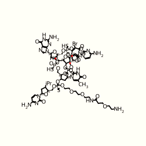 Cc1cn([C@H]2CC(OP(=S)(OCCOCCOCCNC(=O)CCOCCN)OC[C@H]3O[C@@H](n4ccc(N)nc4=O)CC3C(C)C)[C@@H](COP(=O)(S)OC3C[C@H](n4cnc5c(=O)[nH]c(N)nc54)O[C@@H]3COP(=O)(S)OC3C[C@H](n4ccc(N)nc4=O)O[C@@H]3COP(=O)(S)OC3C[C@H](n4cc(Br)c(=O)[nH]c4=O)O[C@@H]3CO)O2)c(=O)[nH]c1=O